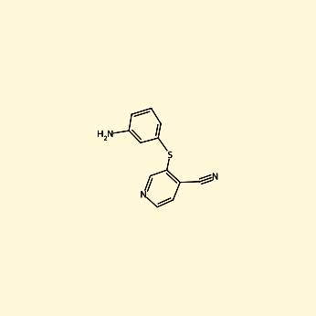 N#Cc1ccncc1Sc1cccc(N)c1